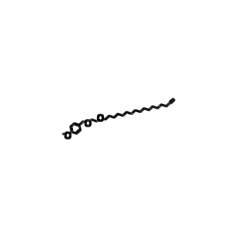 C#CCCCCCCCCCCCCCCCOCCOCc1ccc(OC)cc1